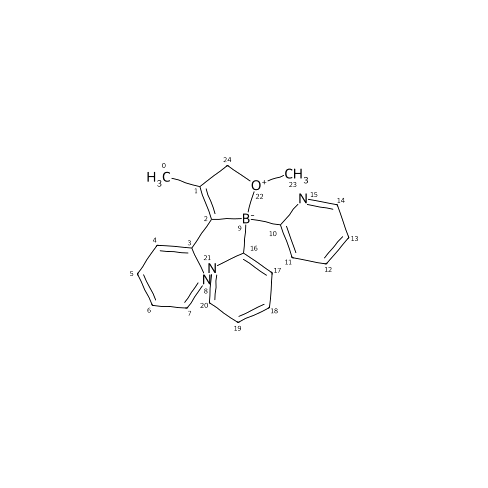 CC1=C(c2ccccn2)[B-](c2ccccn2)(c2ccccn2)[O+](C)C1